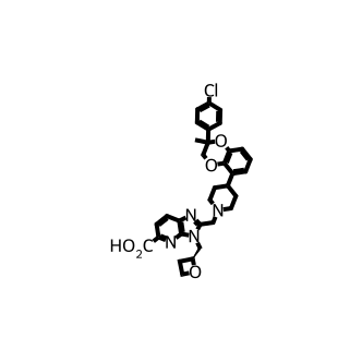 CC1(c2ccc(Cl)cc2)COc2c(cccc2C2CCN(Cc3nc4ccc(C(=O)O)nc4n3C[C@@H]3CCO3)CC2)O1